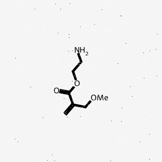 C=C(COC)C(=O)OCCN